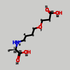 C[C@H](NCCCCOCCC(=O)O)C(=O)O